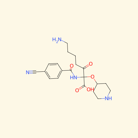 N#Cc1ccc(C(=O)NC(OC2CCNCC2)(C(=O)O)C(=O)CCCCN)cc1